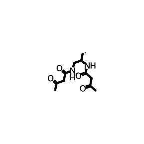 [CH2]C(CNC(=O)CC(C)=O)NC(=O)CC(C)=O